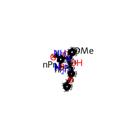 CCCN(CCC)C(=O)c1cc(C(N)=O)cc(C(=O)N(Cc2cccc(OC)c2)C[C@@H](O)[C@@H](N)Cc2ccc(OCc3ccccc3)cc2)c1